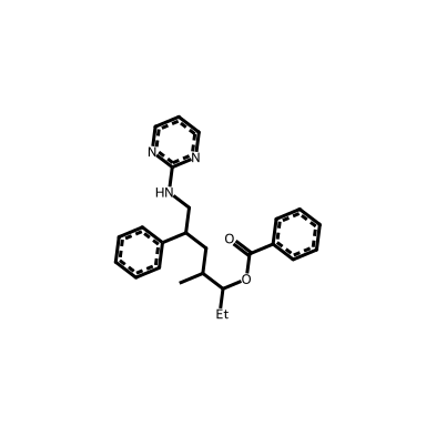 CCC(OC(=O)c1ccccc1)C(C)CC(CNc1ncccn1)c1ccccc1